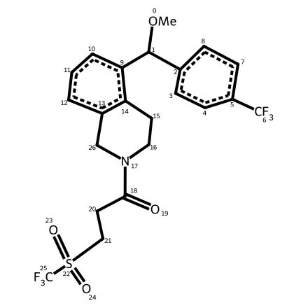 COC(c1ccc(C(F)(F)F)cc1)c1cccc2c1CCN(C(=O)CCS(=O)(=O)C(F)(F)F)C2